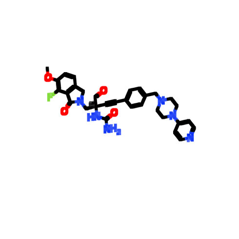 COc1ccc2c(c1F)C(=O)N(C[C@](C#Cc1ccc(CN3CCN(c4ccncc4)CC3)cc1)(C=O)NC(N)=O)C2